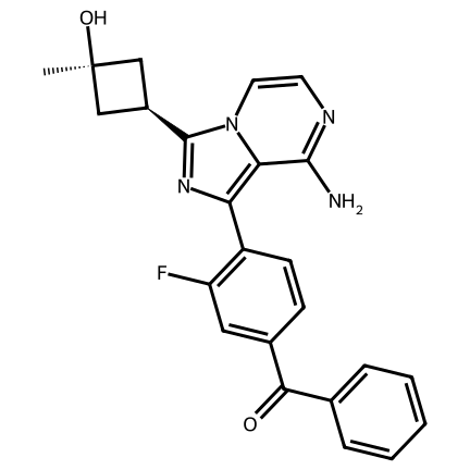 C[C@]1(O)C[C@@H](c2nc(-c3ccc(C(=O)c4ccccc4)cc3F)c3c(N)nccn32)C1